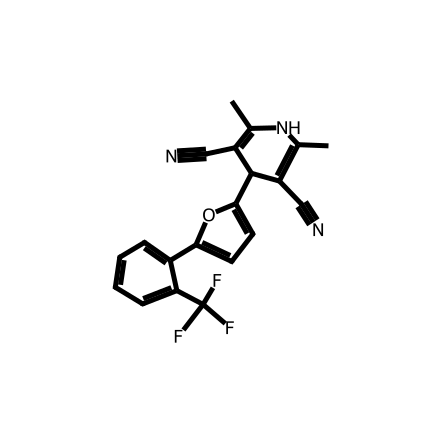 CC1=C(C#N)C(c2ccc(-c3ccccc3C(F)(F)F)o2)C(C#N)=C(C)N1